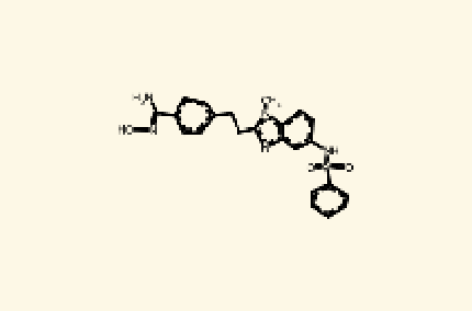 Cn1c(CCc2ccc(C(N)=NO)cc2)nc2cc(NS(=O)(=O)c3ccccc3)ccc21